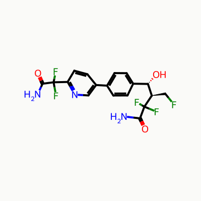 NC(=O)C(F)(F)c1ccc(-c2ccc([C@H](O)[C@@H](CF)C(F)(F)C(N)=O)cc2)cn1